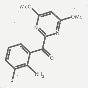 COc1cc(OC)nc(C(=O)c2cccc(Br)c2N)n1